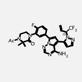 C=C[C@H](n1nccc1-c1cc(-c2ccc(F)c(N3CCN(C(C)=O)C(C)(C)C3=O)c2)n2ncnc(N)c12)C(F)(F)F